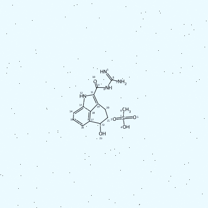 CS(=O)(=O)O.N=C(N)NC(=O)c1[nH]c2cccc3c2c1CCC3O